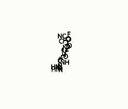 N#Cc1c(F)ccc(C2=CN3C=C[N+](C(=O)C[C@@H]4CCC(N5C=NNN5)NC4)=CC3=CO2)c1Cl